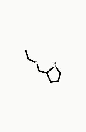 CCSCC1CCCN1